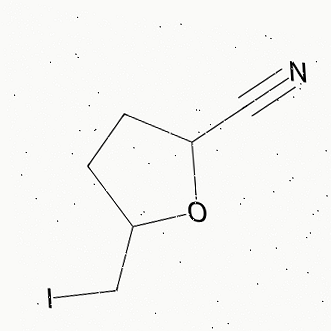 N#CC1CCC(CI)O1